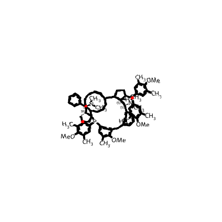 COc1c(C)cc(P(c2cc(C)c(OC)c(C)c2)C2CCC3C4CCCCCC(CCC4)C4(CCC[C@@H]4[C@@H](c4ccccc4)N(C)C)P(c4cc(C)c(OC)c(C)c4)c4cc(C)c(OC)c(c4)Cc4cccc(c4)[C@@H](N(C)C)[C@H]32)cc1C